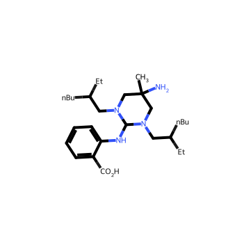 CCCCC(CC)CN1CC(C)(N)CN(CC(CC)CCCC)C1Nc1ccccc1C(=O)O